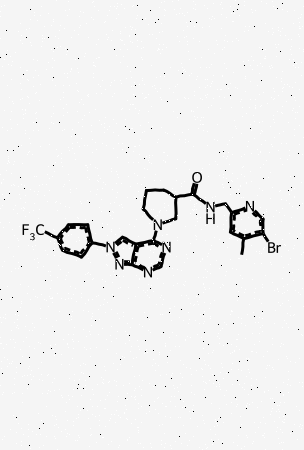 Cc1cc(CNC(=O)C2CCCN(c3ncnc4nn(-c5ccc(C(F)(F)F)cc5)cc34)C2)ncc1Br